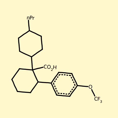 CCCC1CCC(C2(C(=O)O)CCCCC2c2ccc(OC(F)(F)F)cc2)CC1